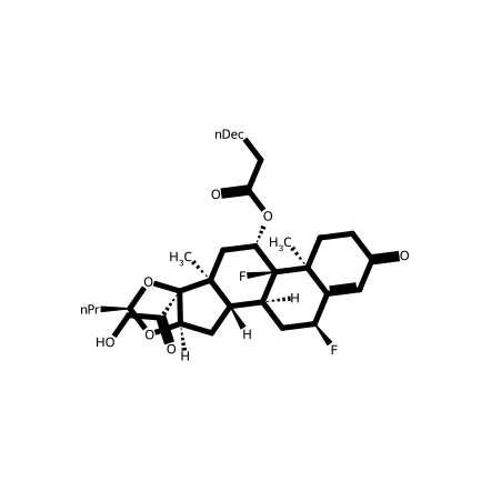 CCCCCCCCCCCC(=O)O[C@H]1C[C@@]2(C)[C@@H](C[C@H]3O[C@@H](CCC)O[C@]32C(=O)CO)[C@@H]2C[C@H](F)C3=CC(=O)CC[C@]3(C)[C@@]12F